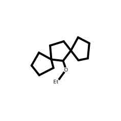 CCOC1C2(CCCC2)CCC12CCCC2